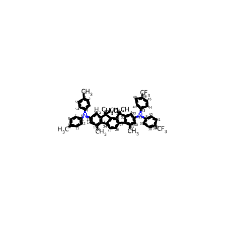 Cc1ccc(N(c2ccc(C)cc2)c2cc(C)c3c(c2)C(C)(C)c2c-3ccc3c2C(C)(C)c2cc(N(c4ccc(C(F)(F)F)cc4)c4ccc(C(F)(F)F)cc4)cc(C)c2-3)cc1